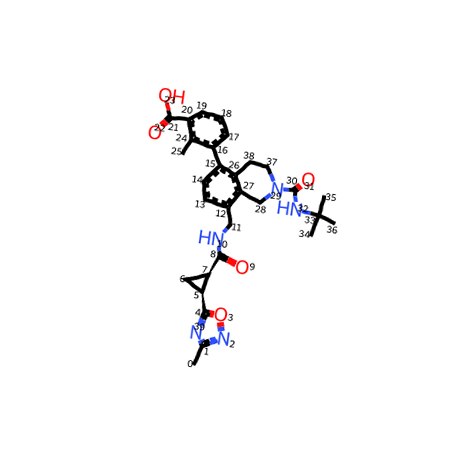 Cc1noc([C@H]2C[C@H]2C(=O)NCc2ccc(-c3cccc(C(=O)O)c3C)c3c2CN(C(=O)NC(C)(C)C)CC3)n1